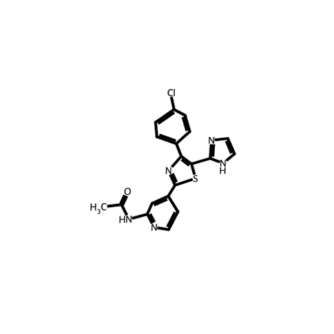 CC(=O)Nc1cc(-c2nc(-c3ccc(Cl)cc3)c(-c3ncc[nH]3)s2)ccn1